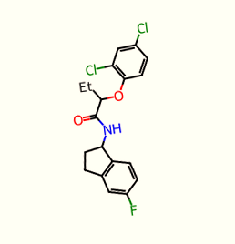 CCC(Oc1ccc(Cl)cc1Cl)C(=O)NC1CCc2cc(F)ccc21